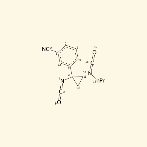 N#Cc1cccc(C2(N=C=O)[CH]C2)c1.[CH2]CCN=C=O